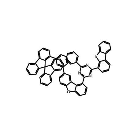 c1ccc(-c2nc(-c3cccc4c3sc3ccccc34)nc(-c3cccc4oc5ccc(-c6cccc(-c7cccc8c7C7(c9ccccc9-c9ccccc97)c7ccccc7-8)c6)cc5c34)n2)cc1